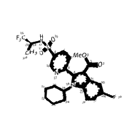 COC(=O)c1c(-c2ccc(S(=O)(=O)N[C@@H](C)C(F)(F)F)cn2)n(C2CCCCC2)c2ccc(F)cc12